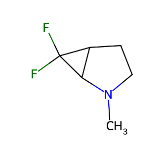 CN1CCC2C1C2(F)F